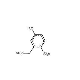 Cc1ccc(S(=O)(=O)O)c(CC(=O)O)c1